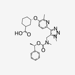 Cc1nc(-c2nnn(C)c2CN(C)C(=O)O[C@H](C)c2ccccc2)ccc1O[C@H]1CCCC(C(=O)O)C1